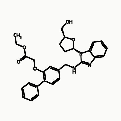 CCOC(=O)COc1cc(CNc2nc3ccccc3n2[C@H]2CC[C@@H](CO)O2)ccc1-c1ccccc1